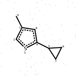 Cc1csc(C2CC2)c1